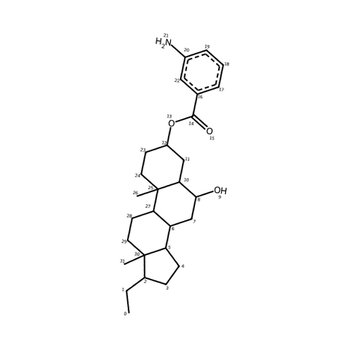 CCC1CCC2C3CC(O)C4CC(OC(=O)c5cccc(N)c5)CCC4(C)C3CCC12C